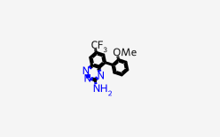 COc1ccccc1-c1cc(C(F)(F)F)cc2nnc(N)nc12